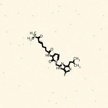 CC(C)Cc1ncc(F)c2[nH]c(Cn3cccc(NC(=O)CCC/C=C/C(=O)N(C)C)c3=O)nc12